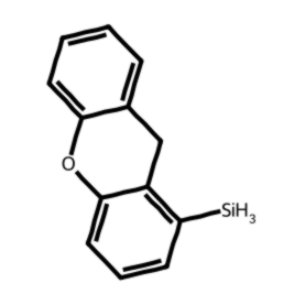 [SiH3]c1cccc2c1Cc1ccccc1O2